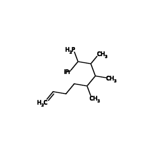 C=CCCC(C)C(C)C(C)C(P)C(C)C